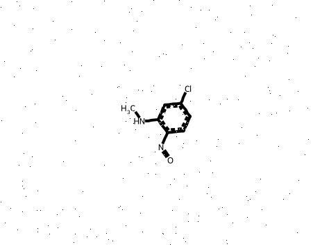 CNc1cc(Cl)ccc1N=O